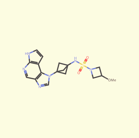 COC1CN(S(=O)(=O)NC23CC(n4cnc5cnc6[nH]ccc6c54)(C2)C3)C1